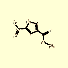 COC(=O)c1c[nH]c([N+](=O)[O-])c1